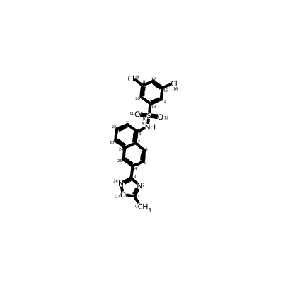 Cc1nc(-c2ccc3c(NS(=O)(=O)c4cc(Cl)cc(Cl)c4)cccc3c2)no1